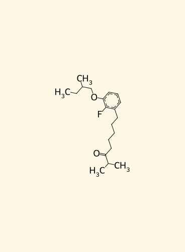 CCC(C)COc1cccc(CCCCCC(=O)C(C)C)c1F